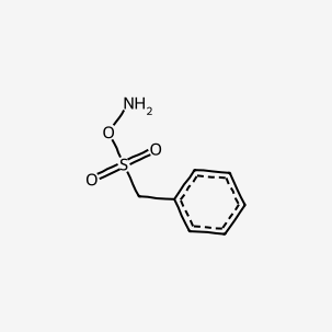 NOS(=O)(=O)Cc1ccccc1